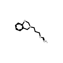 C=COCCCN1COc2ccccc2C1